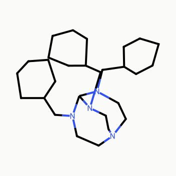 C1CCC(CN2CCN3CCN(CC4CCCCC4)C2N(CC2CCCCC2)CC3)CC1